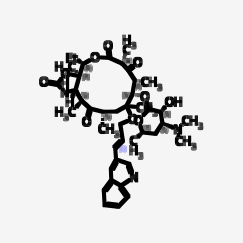 CC[C@H]1OC(=O)[C@H](C)C(=O)[C@H](C)[C@H](O[C@@H]2O[C@H](C)C[C@H](N(C)C)[C@@H]2O)C(C)(OC/C=C/c2cnc3ccccc3c2)C[C@H](C)C(=O)[C@@H](C)[C@@H]2NC(=O)O[C@@]12C